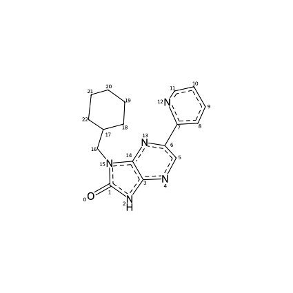 O=c1[nH]c2ncc(-c3ccccn3)nc2n1CC1CCCCC1